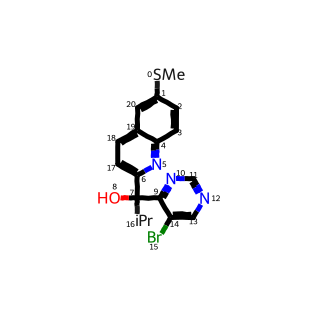 CSc1ccc2nc(C(O)(c3ncncc3Br)C(C)C)ccc2c1